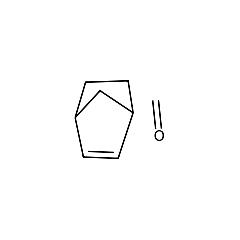 C1=CC2CCC1C2.C=O